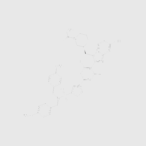 COC(=O)N1CCO[C@@H](Cc2c(-c3c(F)cc(-n4ccc(S(=O)(=O)N(Cc5ccc(OC)cc5)Cc5ccc(OC)cc5)c4)cc3F)nc3cc(C)ccn23)C1